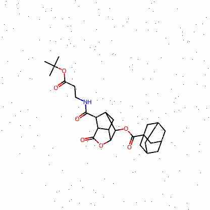 CC(C)(C)OC(=O)CCNC(=O)C1C2CC3C(OC(=O)C31)C2OC(=O)C12CC3CC(CC(C3)C1)C2